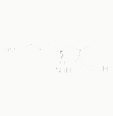 CCCCCCCCCCOC(=O)CC(C)OS(=O)(=O)O.[NaH]